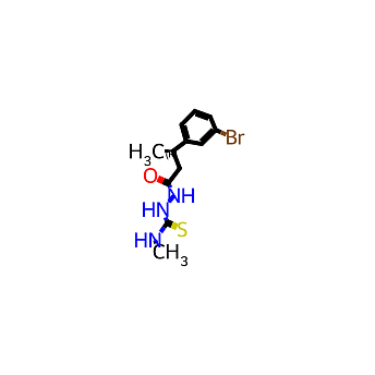 CNC(=S)NNC(=O)C[C@@H](C)c1cccc(Br)c1